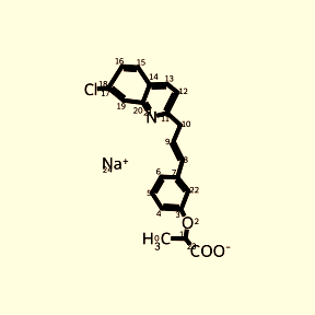 CC(Oc1cccc(C=CCc2ccc3ccc(Cl)cc3n2)c1)C(=O)[O-].[Na+]